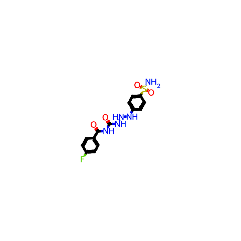 NS(=O)(=O)c1ccc(NNNC(=O)NC(=O)c2ccc(F)cc2)cc1